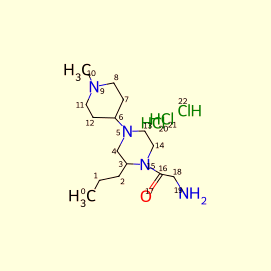 CCCC1CN(C2CCN(C)CC2)CCN1C(=O)CN.Cl.Cl.Cl